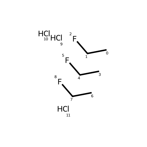 CCF.CCF.CCF.Cl.Cl.Cl